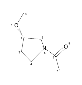 CO[C@H]1CCN(C(C)=O)C1